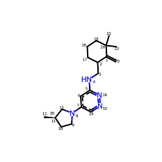 C=C1C(CNc2cc(N3CC[C@@H](C)C3)cnn2)CCCC1(C)C